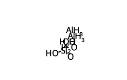 O.O.O=[Si](O)O.[AlH3].[AlH3]